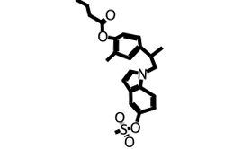 CCCC(=O)Oc1ccc(C(C)Cn2ccc3cc(OS(C)(=O)=O)ccc32)cc1C